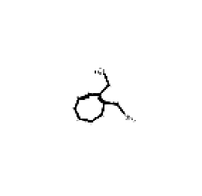 NCC1=C(CN)CCCCC=C1